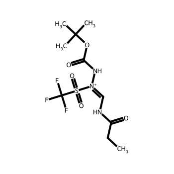 CCC(=O)NC=[N+](NC(=O)OC(C)(C)C)S(=O)(=O)C(F)(F)F